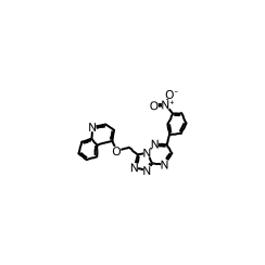 O=[N+]([O-])c1cccc(-c2cnc3nnc(COc4ccnc5ccccc45)n3n2)c1